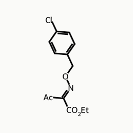 CCOC(=O)C(=NOCc1ccc(Cl)cc1)C(C)=O